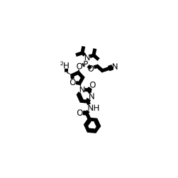 [2H]C[C@H]1O[C@@H](n2ccc(NC(=O)c3ccccc3)nc2=O)C[C@H]1OP(OCCC#N)N(C(C)C)C(C)C